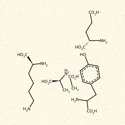 CC(=O)O.C[C@H](N)C(=O)O.NC(Cc1ccc(O)cc1)C(=O)O.NCCCC[C@H](N)C(=O)O.N[C@@H](CCC(=O)O)C(=O)O